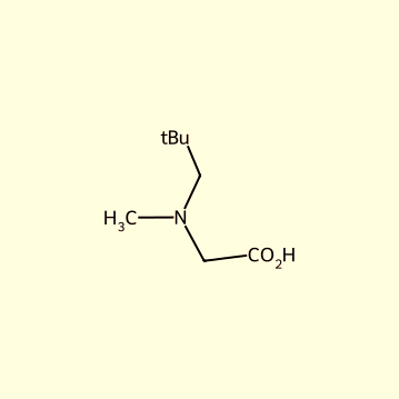 CN(CC(=O)O)CC(C)(C)C